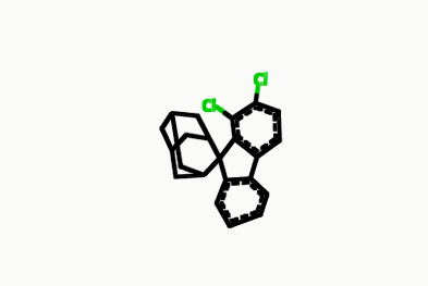 Clc1ccc2c(c1Cl)C1(c3ccccc3-2)C2CC3CC(C2)CC1C3